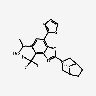 CC(O)c1cc(-c2nccs2)c2oc(N3CC4CCC(C3)N4)nc2c1C(F)(F)F